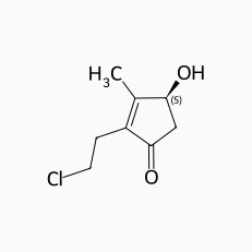 CC1=C(CCCl)C(=O)C[C@@H]1O